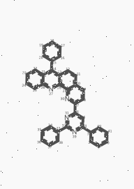 c1ccc(-c2cc(-c3ccc4ccc5c(-c6ccccc6)c6ccccc6nc5c4n3)nc(-c3ccccc3)n2)cc1